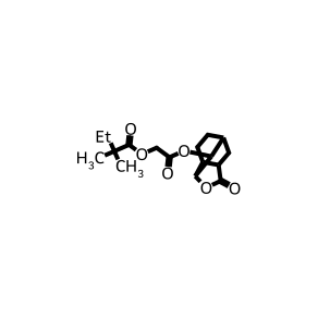 CCC(C)(C)C(=O)OCC(=O)OC1C2CCC3C(C2)C(=O)OC31